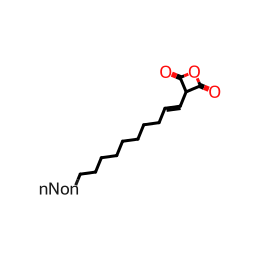 CCCCCCCCCCCCCCCCC/C=C/C1C(=O)OC1=O